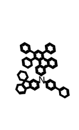 C1=CCCC(c2ccc(N(c3ccc4c(c3)C3(CCCCC3)C3=C4C=CCC3)c3ccc4c(c3)c3ccccc3c3c(-c5ccccc5)cc(-c5ccccc5)c(C5=CC=CCC5)c43)cc2)=C1